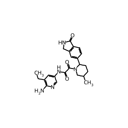 CCc1cc(NC(=O)C(=O)N2CC(C)CCC2c2ccc3c(c2)CNC3=O)cnc1N